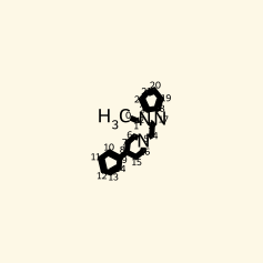 CCn1c(CN2CCC(c3ccccc3)CC2)nc2ccccc21